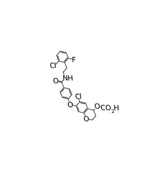 O=C(O)OC1CCOc2cc(Oc3ccc(C(=O)NCCc4c(F)cccc4Cl)cc3)c(Cl)cc21